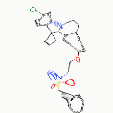 O=S(=O)(Cc1ccccc1)NCCOc1ccc2c(c1)C(C1(c3ccc(Cl)cc3)CCC1)NCC2